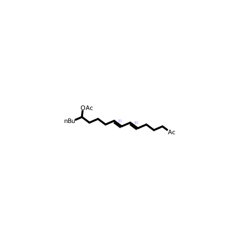 CCCCC(CCC/C=C/C=C/CCCC(C)=O)OC(C)=O